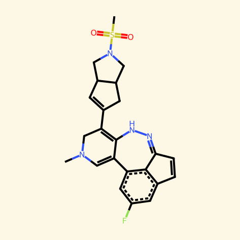 CN1C=C2C(=C(C3=CC4CN(S(C)(=O)=O)CC4C3)C1)NN=C1C=Cc3cc(F)cc2c31